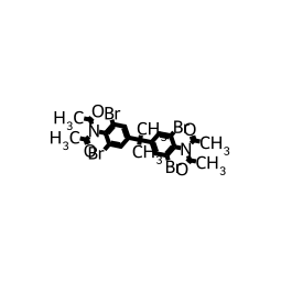 CC(=O)N(C(C)=O)c1c(Br)cc(C(C)(C)c2cc(Br)c(N(C(C)=O)C(C)=O)c(Br)c2)cc1Br